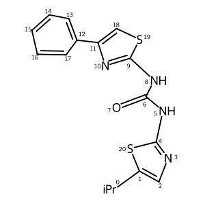 CC(C)c1cnc(NC(=O)Nc2nc(-c3ccccc3)cs2)s1